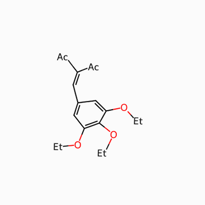 CCOc1cc(C=C(C(C)=O)C(C)=O)cc(OCC)c1OCC